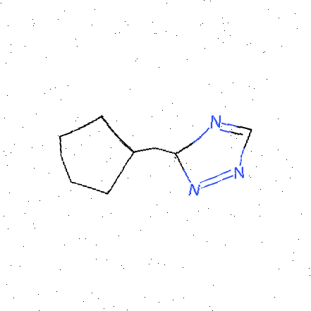 C1=N[C](C2CCCC2)N=N1